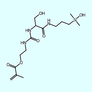 C=C(C)C(=O)OCCNC(=O)NC(CO)C(=O)NCCC[Si](C)(C)O